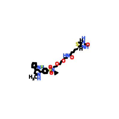 C[C@H]1Cc2c([nH]c3ccccc23)C(c2ccc(S(=O)(=O)N(CCOCCOCCNC(=O)CCCC[C@@H]3SC[C@@H]4NC(=O)N[C@@H]43)C3CC3)cc2F)N1